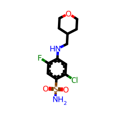 NS(=O)(=O)c1cc(F)c(NCC2CCOCC2)cc1Cl